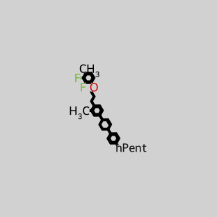 CCCCCc1ccc(C2C=CC(c3ccc(CCCOc4ccc(C)c(F)c4F)c(C)c3)CC2)cc1